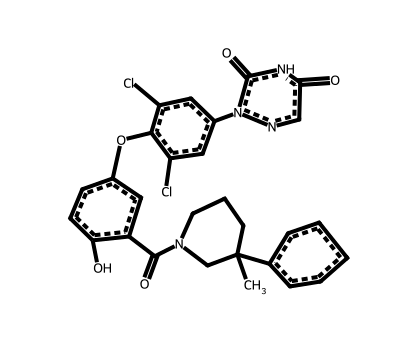 CC1(c2ccccc2)CCCN(C(=O)c2cc(Oc3c(Cl)cc(-n4ncc(=O)[nH]c4=O)cc3Cl)ccc2O)C1